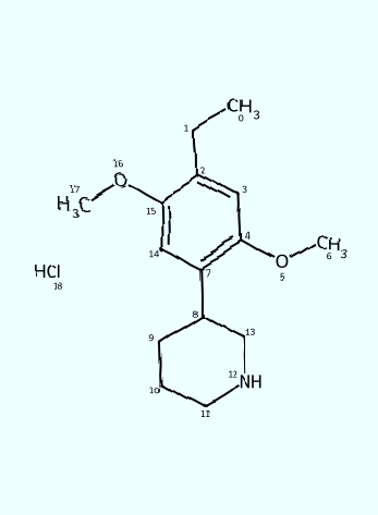 CCc1cc(OC)c(C2CCCNC2)cc1OC.Cl